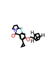 C[C@@H]1CCCN1C(=O)c1cc(C2CC2)c(OC[C@H]2CC[C@H]3C[C@@H]2C3(C)C)cc1F